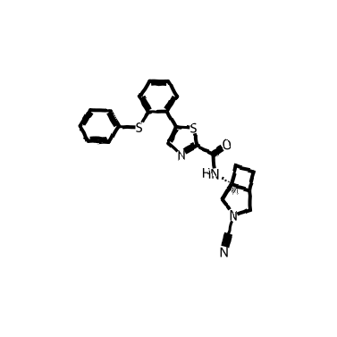 N#CN1CC2CC[C@]2(NC(=O)c2ncc(-c3ccccc3Sc3ccccc3)s2)C1